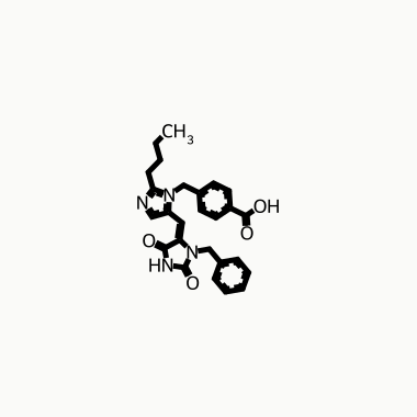 CCCCc1ncc(C=C2C(=O)NC(=O)N2Cc2ccccc2)n1Cc1ccc(C(=O)O)cc1